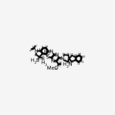 BC1(B)CN(C(=C)C)c2cccc(Sc3nc(C(=C)OC)c(N4CCC5(CC4)Cc4ccccc4C5N)nc3N)c21